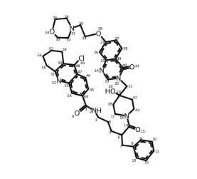 O=C(NCCCC(Cc1ccccc1)C(=O)N1CCC(O)(Cn2cnc3cc(OCCN4CCOCC4)ccc3c2=O)CC1)c1ccc2c(Cl)c3c(nc2c1)CCCC3